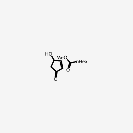 CCCCCCC(=O)OC.O=C1C=CC(O)C1